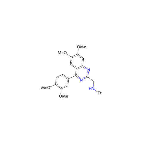 CCNCc1nc(-c2ccc(OC)c(OC)c2)c2cc(OC)c(OC)cc2n1